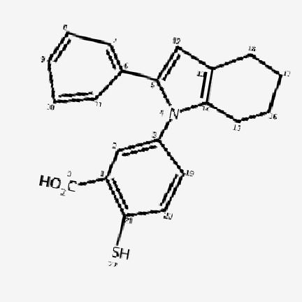 O=C(O)c1cc(-n2c(-c3ccccc3)cc3c2CCCC3)ccc1S